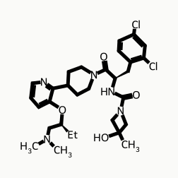 CC[C@@H](CN(C)C)Oc1cccnc1C1CCN(C(=O)[C@@H](Cc2ccc(Cl)cc2Cl)NC(=O)N2CC(C)(O)C2)CC1